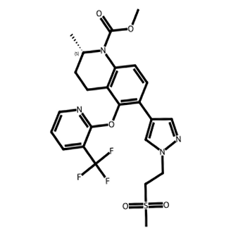 COC(=O)N1c2ccc(-c3cnn(CCS(C)(=O)=O)c3)c(Oc3ncccc3C(F)(F)F)c2CC[C@@H]1C